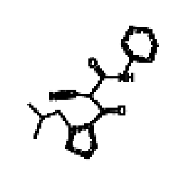 CC(C)Cn1cccc1C(=O)C(C#N)C(=O)Nc1ccccc1